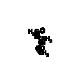 CC(c1ccccc1)n1cc(-c2cc(-c3cccn(C)c3=O)cnc2N)cn1